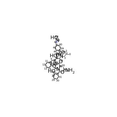 CC(C)CN(C[C@@H](O)[C@H](Cc1ccccc1)NC(=O)[C@H](CC(N)=O)N(Cc1ccccc1)C(=O)O)S(=O)(=O)c1ccc(/C=N/O)cc1